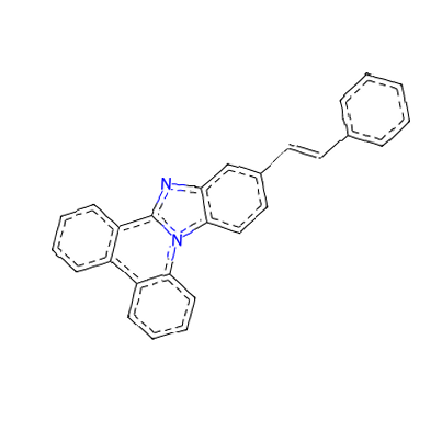 C(=C\c1ccc2c(c1)nc1c3ccccc3c3ccccc3n21)/c1ccccc1